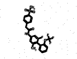 Cc1cc(NC(=O)Cc2ccc(S(C)(=O)=O)cc2)cc(F)c1-c1ccccc1OC(F)(F)F